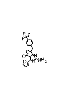 Nc1nc(-c2ccco2)c2c(n1)C(Cc1ccc(C(F)(F)F)cc1)OC2=O